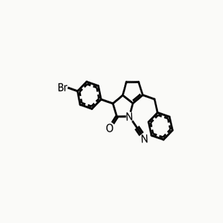 N#CN1C(=O)C(c2ccc(Br)cc2)C2CCC(Cc3ccccc3)=C21